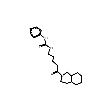 O=C(CCCCNC(=S)Nc1ccccc1)N1CCC2CCCCC2C1